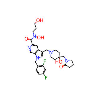 O=C(c1cc2c(CN3CCC(O)(CN4CCCC4=O)CC3)cn(Cc3ccc(F)cc3F)c2cn1)N(O)CCCO